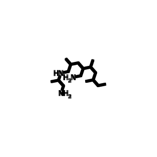 CCC(C)CC(C)C(CN)CC(C)CNC(C)CN